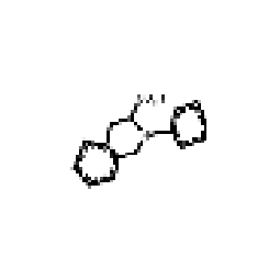 O=C(O)C1Cc2ccccc2CN1c1ccccc1